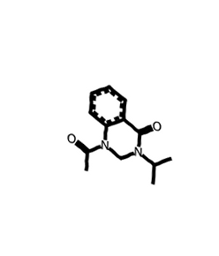 CC(=O)N1CN(C(C)C)C(=O)c2ccccc21